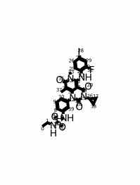 CCNS(=O)(=O)Nc1cccc(-n2c(=O)n(C3CC3)c(=O)c3c(Nc4ccc(I)cc4F)n(C)c(=O)c(C)c32)c1